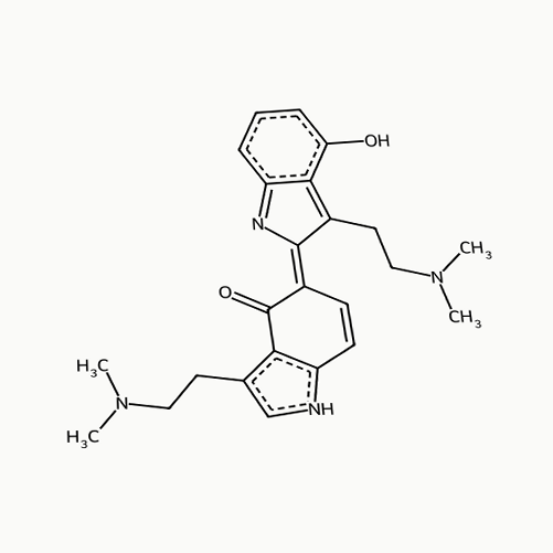 CN(C)CCC1=c2c(O)cccc2=NC1=C1C=Cc2[nH]cc(CCN(C)C)c2C1=O